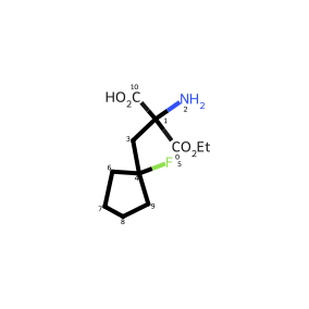 CCOC(=O)C(N)(CC1(F)CCCC1)C(=O)O